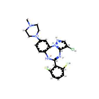 CN1CCN(c2ccc3c(c2)-n2ncc(Cl)c2N=C(c2c(F)cccc2F)N3)CC1